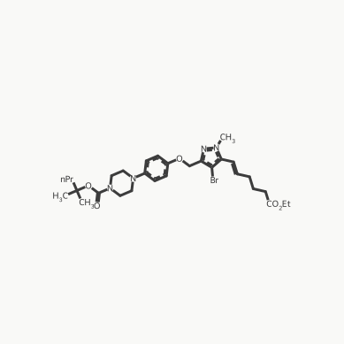 CCCC(C)(C)OC(=O)N1CCN(c2ccc(OCc3nn(C)c(/C=C/CCCC(=O)OCC)c3Br)cc2)CC1